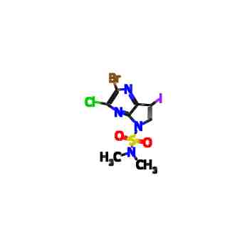 CN(C)S(=O)(=O)n1cc(I)c2nc(Br)c(Cl)nc21